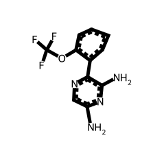 Nc1cnc(-c2ccccc2OC(F)(F)F)c(N)n1